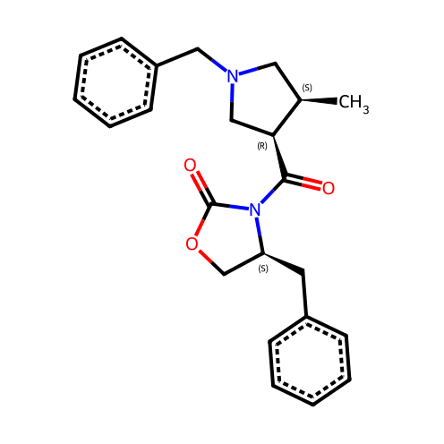 C[C@@H]1CN(Cc2ccccc2)C[C@@H]1C(=O)N1C(=O)OC[C@@H]1Cc1ccccc1